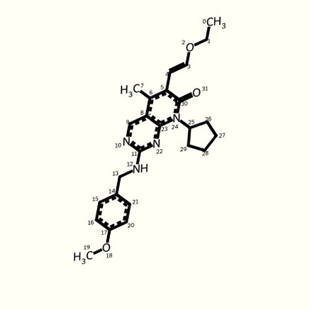 CCOC=Cc1c(C)c2cnc(NCc3ccc(OC)cc3)nc2n(C2CCCC2)c1=O